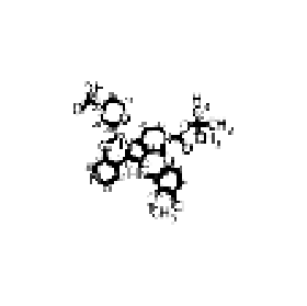 COc1c(Cl)cccc1Nc1c(-c2ccncc2OC[C@H]2CN(C(=O)O)CCO2)[nH]c2c1C(=O)N(C(=O)OC(C)(C)C)CC2